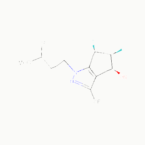 COC(CCn1nc(C(F)(F)F)c2c1[C@@H](F)[C@@H](F)[C@H]2O)C(F)(F)F